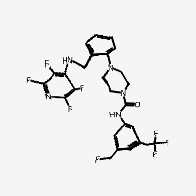 O=C(Nc1cc(CF)cc(C(F)(F)F)c1)N1CCN(c2ccccc2CNc2c(F)c(F)nc(F)c2F)CC1